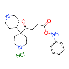 Cl.O=C(CCC(=O)C1(C2CC[N]CC2)CC[N]CC1)ONc1ccccc1